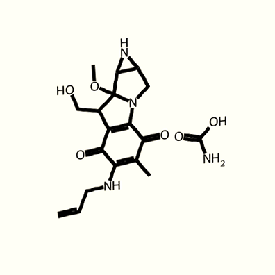 C=CCNC1=C(C)C(=O)C2=C(C1=O)C(CO)C1(OC)C3NC3CN21.NC(=O)O